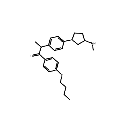 CCCCOc1ccc(C(=O)N(C)c2ccc(N3CCC(NC)C3)cc2)cc1